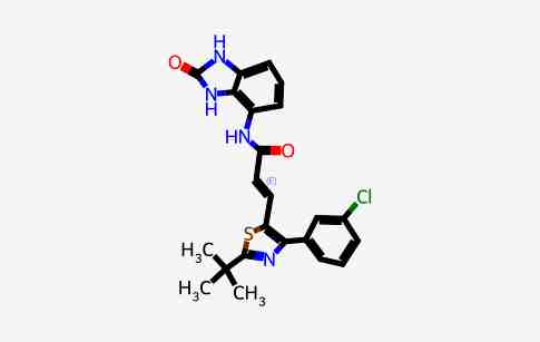 CC(C)(C)c1nc(-c2cccc(Cl)c2)c(/C=C/C(=O)Nc2cccc3[nH]c(=O)[nH]c23)s1